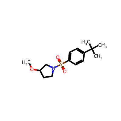 COC1CCN(S(=O)(=O)c2ccc(C(C)(C)C)cc2)C1